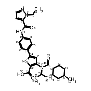 CCn1nccc1C(=O)Nc1ccc(-c2cc(N(C(=O)[C@H]3CC[C@H](C)CC3)C(C)C)c(C(=O)O)s2)cc1